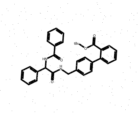 CC(C)(C)OC(=O)c1ccccc1-c1ccc(CNC(=O)C(NC(=O)c2ccccc2)c2ccccc2)cc1